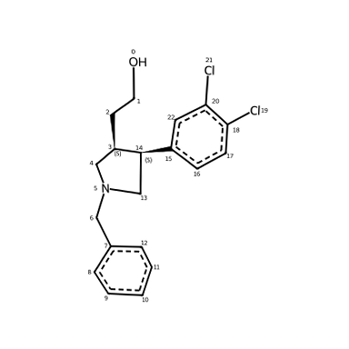 OCC[C@@H]1CN(Cc2ccccc2)C[C@@H]1c1ccc(Cl)c(Cl)c1